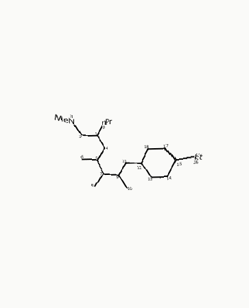 CCCC(CNC)CC(C)C(C)C(C)CC1CCC(CC)CC1